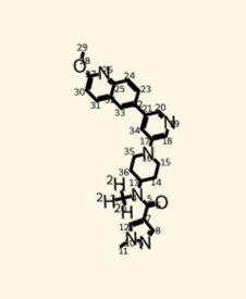 [2H]C([2H])([2H])N(C(=O)c1cnn(C)c1)C1CCN(c2cncc(-c3ccc4nc(OC)ccc4c3)c2)CC1